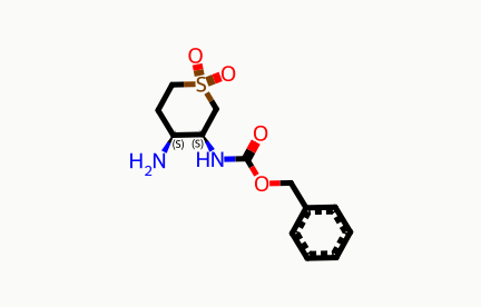 N[C@H]1CCS(=O)(=O)C[C@H]1NC(=O)OCc1ccccc1